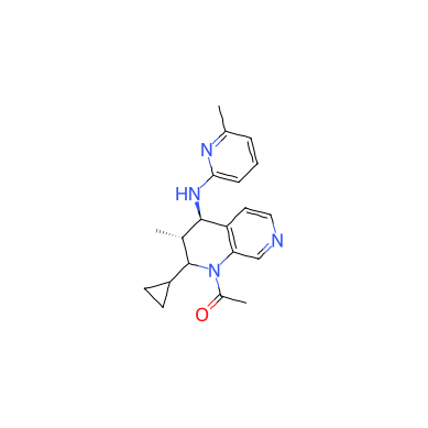 CC(=O)N1c2cnccc2[C@H](Nc2cccc(C)n2)[C@@H](C)C1C1CC1